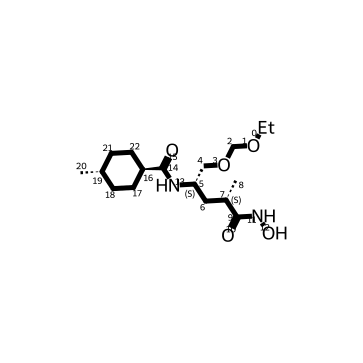 CCOCOC[C@H](C[C@H](C)C(=O)NO)NC(=O)[C@H]1CC[C@H](C)CC1